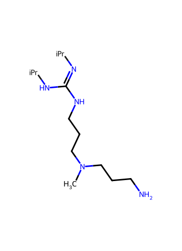 CC(C)/N=C(/NCCCN(C)CCCN)NC(C)C